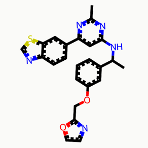 Cc1nc(NC(C)c2cccc(OCc3ncco3)c2)cc(-c2ccc3ncsc3c2)n1